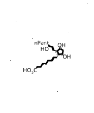 CCCCCC(O)C=C[C@@H]1[C@@H](CC=CCCCCCC(=O)O)[C@@H](O)C[C@H]1O